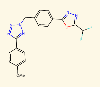 COc1ccc(-c2nnn(Cc3ccc(-c4nnc(C(F)F)o4)cc3)n2)cc1